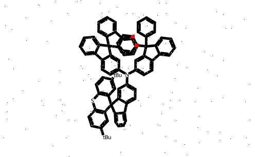 CC(C)(C)c1ccc2c(c1)C1(c3cc(C(C)(C)C)ccc3S2)c2ccccc2-c2ccc(N(c3ccc4c(c3)C(c3ccccc3)(c3ccccc3)c3ccccc3-4)c3ccc4c(c3)C3(c5ccccc5-c5ccccc53)c3ccccc3-4)cc21